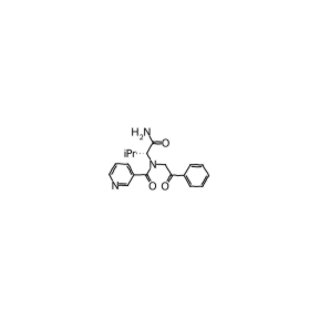 CC(C)[C@H](C(N)=O)N(CC(=O)c1ccccc1)C(=O)c1cccnc1